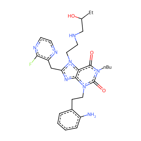 CCCCn1c(=O)c2c(nc(Cc3nccnc3F)n2CCNCC(O)CC)n(CCc2ccccc2N)c1=O